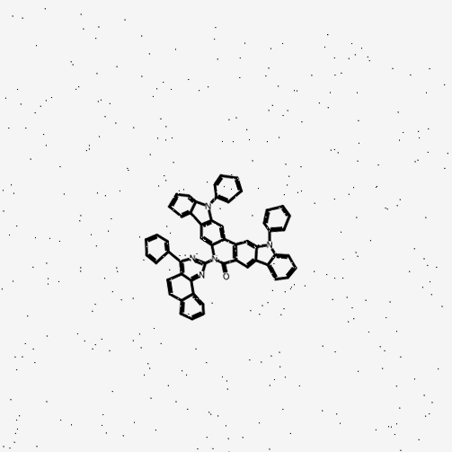 O=c1c2cc3c4ccccc4n(-c4ccccc4)c3cc2c2cc3c(cc2n1-c1nc(-c2ccccc2)c2ccc4ccccc4c2n1)c1ccccc1n3-c1ccccc1